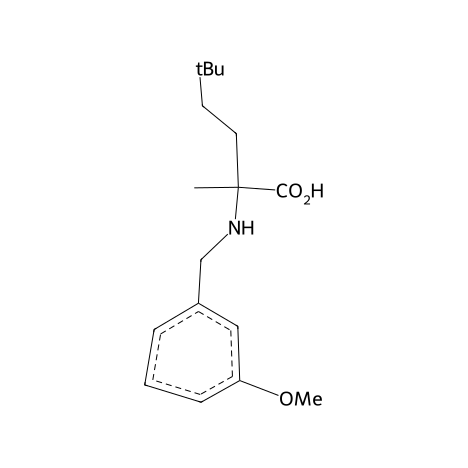 COc1cccc(CNC(C)(CCC(C)(C)C)C(=O)O)c1